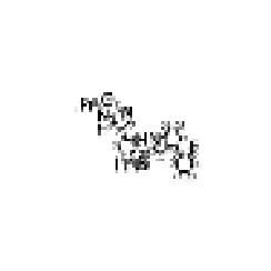 CC(C)C(=O)Nc1cncc(-c2ccc3[nH]nc(-c4cc5c(-c6ccccc6F)cccc5[nH]4)c3c2)c1